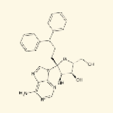 Nc1ncnc2c1ncn2[C@]1(CCC(c2ccccc2)c2ccccc2)O[C@H](CO)[C@@H](O)[C@H]1O